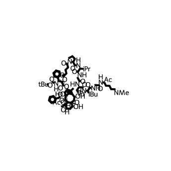 CCC(C)C(NC(=O)C(CC(C)C)NC(=O)CNC(=O)C(NC(=O)C1CCCN1C(=O)CCCC(=O)O[C@@H](C(=O)O[C@H]1C[C@@]2(O)[C@@H](OC(=O)c3ccccc3)[C@@H]3[C@]4(OC(C)=O)CO[C@@H]4C[C@H](O)[C@@]3(C)C(=O)C(O)C(=C1C)C2(C)C)[C@@H](NC(=O)OC(C)(C)C)c1ccccc1)C(C)C)C(=O)NCC(=O)NC(CCCCNC)C(C)=O